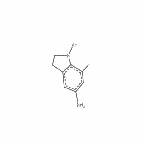 CC(=O)N1CCc2cc(N)cc(F)c21